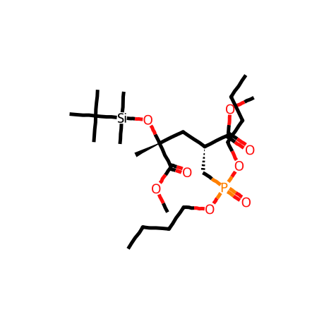 CCCCOP(=O)(C[C@H](C[C@@](C)(O[Si](C)(C)C(C)(C)C)C(=O)OC)C(=O)OC)OCCCC